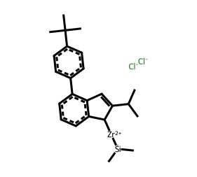 CC(C)C1=Cc2c(-c3ccc(C(C)(C)C)cc3)cccc2[CH]1[Zr+2][Si](C)C.[Cl-].[Cl-]